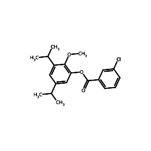 COc1c(OC(=O)c2cccc(Cl)c2)cc(C(C)C)cc1C(C)C